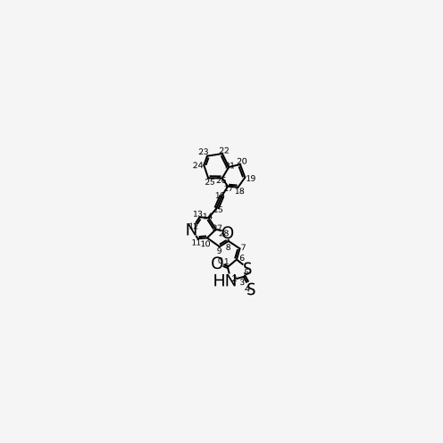 O=C1NC(=S)SC1=Cc1cc2cncc(C#Cc3cccc4ccccc34)c2o1